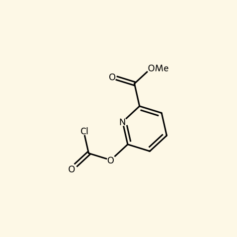 COC(=O)c1cccc(OC(=O)Cl)n1